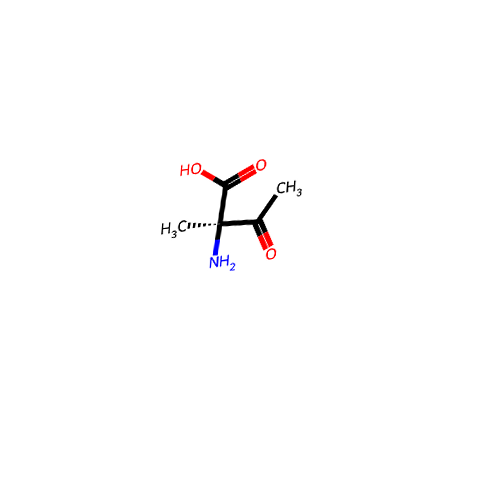 CC(=O)[C@@](C)(N)C(=O)O